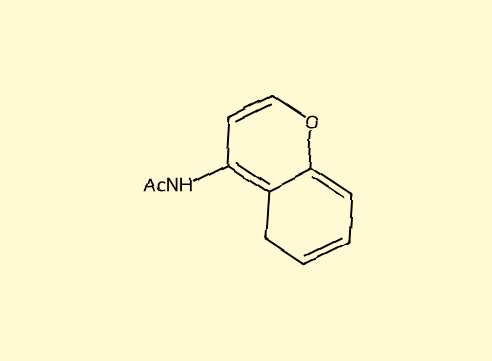 CC(=O)NC1=C2CC=CC=C2OC=C1